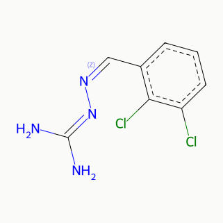 NC(N)=N/N=C\c1cccc(Cl)c1Cl